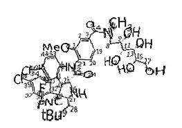 COc1cc(C(=O)N(C)C[C@H](O)[C@@H](O)[C@H](O)[C@H](O)CO)ccc1NC(=O)[C@@H]1N[C@@H](CC(C)(C)C)[C@](C#N)(c2ccc(Cl)cc2F)[C@H]1c1cccc(Cl)c1F